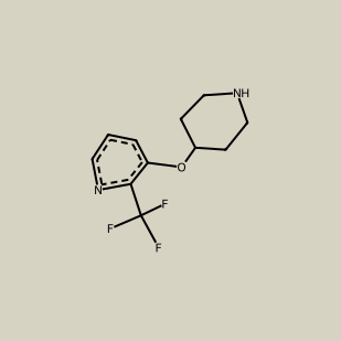 FC(F)(F)c1ncccc1OC1CCNCC1